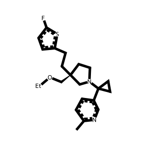 CCOC[C@@]1(CCc2ccc(F)s2)CCN(C2(c3ccc(C)nc3)CC2)C1